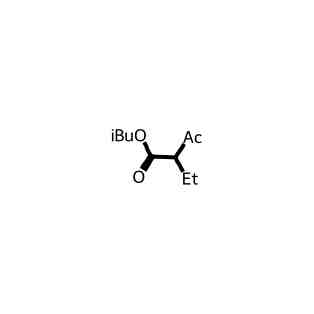 CCC(C(C)=O)C(=O)OCC(C)C